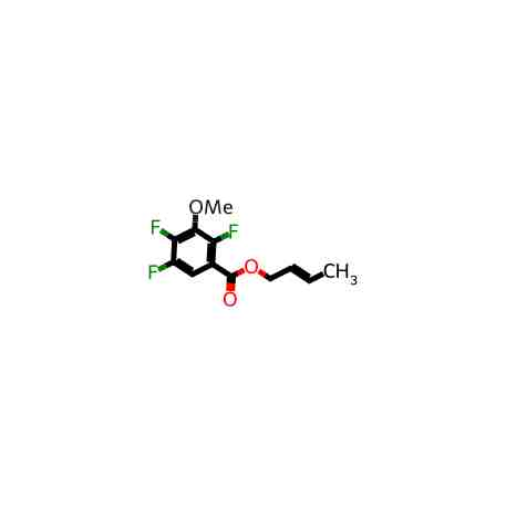 CC=CCOC(=O)c1cc(F)c(F)c(OC)c1F